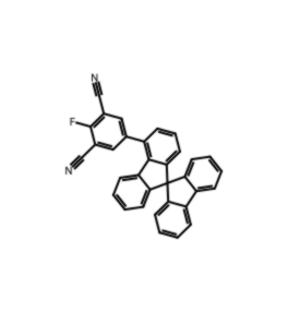 N#Cc1cc(-c2cccc3c2-c2ccccc2C32c3ccccc3-c3ccccc32)cc(C#N)c1F